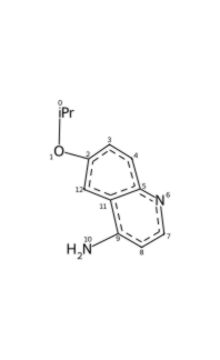 CC(C)Oc1ccc2nccc(N)c2c1